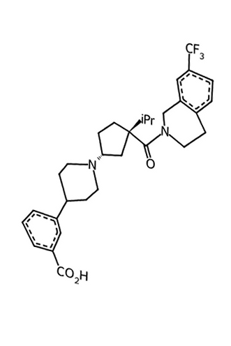 CC(C)[C@]1(C(=O)N2CCc3ccc(C(F)(F)F)cc3C2)CC[C@@H](N2CCC(c3cccc(C(=O)O)c3)CC2)C1